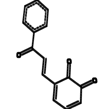 O=C1C=CC=C(C=CC(=O)c2ccccc2)C1=O